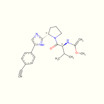 C#Cc1ccc(-c2cnc([C@@H]3CCCN3C(=O)[C@@H](NC(=C)OC)C(C)C)[nH]2)cc1